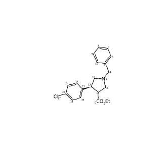 CCOC(=O)C1CN(Cc2ccccc2)C[C@@H]1c1ccc(Cl)cc1